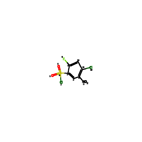 O=[N+]([O-])c1cc(S(=O)(=O)Cl)c(F)cc1Cl